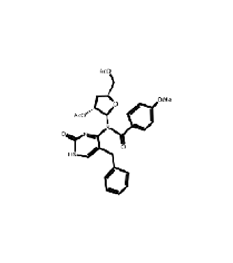 COc1ccc(C(=O)N(c2nc(=O)[nH]cc2Cc2ccccc2)[C@@H]2O[C@H](COC(C)=O)C[C@H]2OC(C)=O)cc1